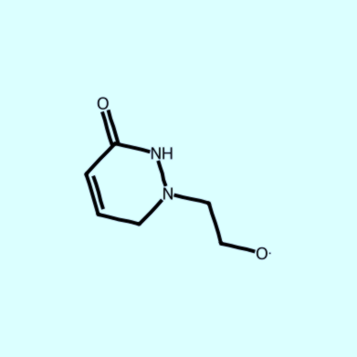 [O]CCN1CC=CC(=O)N1